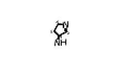 N=C1C=NCC1